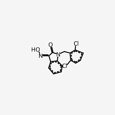 O=C1/C(=N\O)c2ccccc2N1Cc1c(Cl)cccc1Cl